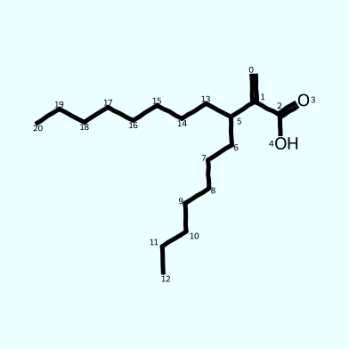 C=C(C(=O)O)C(CCCCCCC)CCCCCCCC